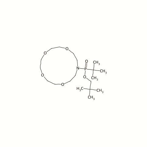 CC(C)(C)COP(=O)(N1CCOCCOCCOCCOCC1)C(C)(C)C